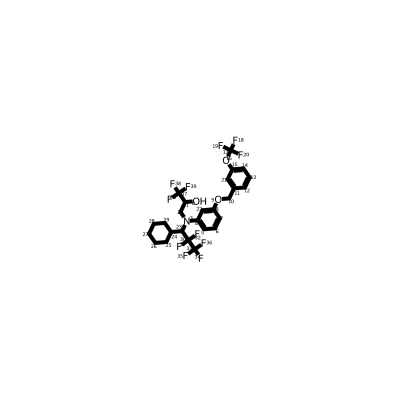 OC(CN(c1cccc(OCc2cccc(OC(F)(F)F)c2)c1)C(C1CCCCC1)C(F)(F)C(F)(F)F)C(F)(F)F